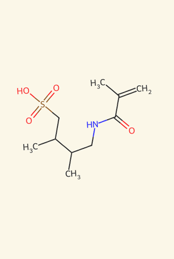 C=C(C)C(=O)NCC(C)C(C)CS(=O)(=O)O